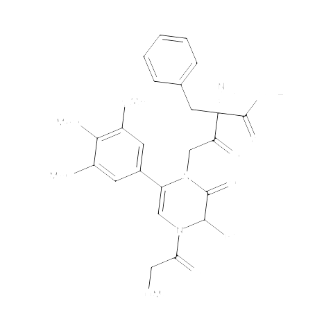 COCC(=O)N1C=C(c2cc(OC)c(OC)c(OC)c2)N(CC(=O)[C@@](N)(Cc2ccccc2)C(=O)C(=O)O)C(=O)C1C(C)C